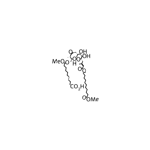 COC(=O)CCCCCCCCCC(=O)O.COC(=O)CCCCCCCCCCOC(=O)/C=C(\C)C[C@@H]1OC[C@H](C[C@@H]2O[C@H]2[C@@H](C)[C@H](C)O)[C@@H](O)[C@H]1O